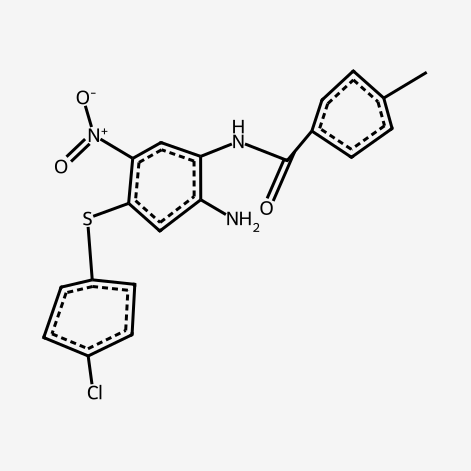 Cc1ccc(C(=O)Nc2cc([N+](=O)[O-])c(Sc3ccc(Cl)cc3)cc2N)cc1